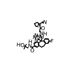 CC(C)(O)CNC(=O)c1ccc2c(c1)CCc1cc(F)ccc1C2(CCNCC(=O)N1CCCC1C#N)c1nnn[nH]1